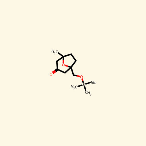 CC12CCC(CO[Si](C)(C)C(C)(C)C)(CC(=O)C1)O2